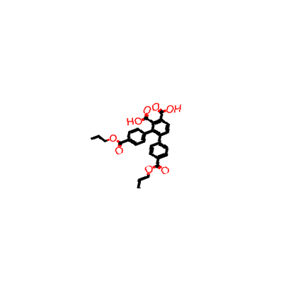 CCCOC(=O)c1ccc(-c2ccc(C(=O)O)c(C(=O)O)c2-c2ccc(C(=O)OCCC)cc2)cc1